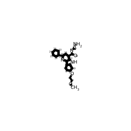 COCCOc1ccc2c(c1)[nH]c1c(C(=O)N=NN)cc(-c3ccccc3)nc12